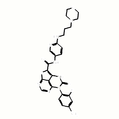 Bc1ccc(N2C(=O)Nc3c(C(=O)Nc4ccc(NCCCN5CCOCC5)nc4)sc4ncnc2c34)c(F)c1